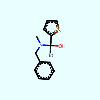 CCC(O)(c1cccs1)N(C)Cc1ccccc1